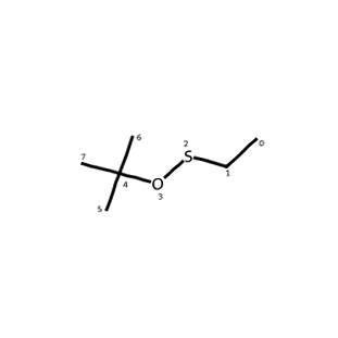 CCSOC(C)(C)C